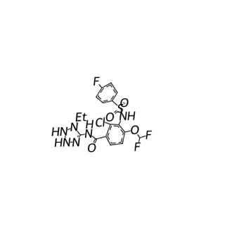 CCN1NNN=C1NC(=O)c1ccc(OC(F)F)c(NS(=O)(=O)c2ccc(F)cc2)c1Cl